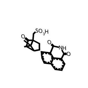 CC1(C)C2CCC1(CS(=O)(=O)O)C(=O)C2.O=C1NC(=O)c2cccc3cccc1c23